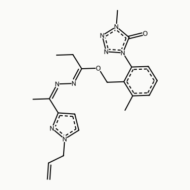 C=CCn1ccc(/C(C)=N\N=C(CC)OCc2c(C)cccc2-n2nnn(C)c2=O)n1